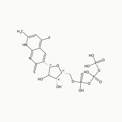 Cc1cc(F)c2cc([C@@H]3O[C@H](COP(=O)(O)OP(=O)(O)OP(=O)(O)O)[C@H](O)C3O)c(=S)nc-2[nH]1